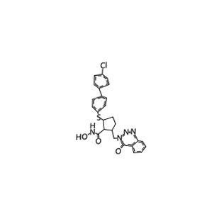 O=C(NO)C1C(Cn2nnc3ccccc3c2=O)CCC1Sc1ccc(-c2ccc(Cl)cc2)cc1